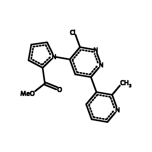 COC(=O)c1cccn1-c1cc(-c2cccnc2C)nnc1Cl